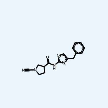 N#CN1CCC(C(=O)Nc2ncc(Cc3ccccc3)s2)C1